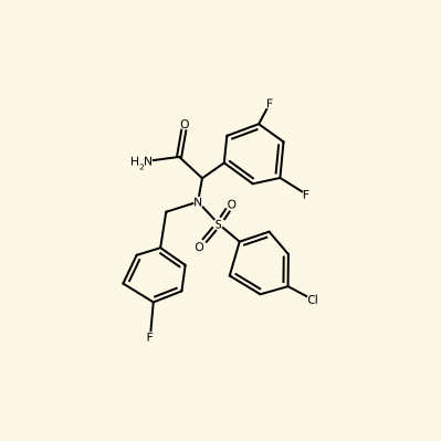 NC(=O)C(c1cc(F)cc(F)c1)N(Cc1ccc(F)cc1)S(=O)(=O)c1ccc(Cl)cc1